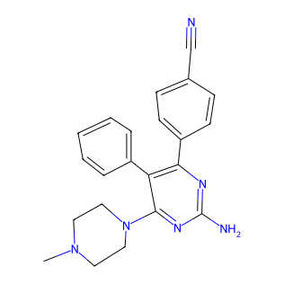 CN1CCN(c2nc(N)nc(-c3ccc(C#N)cc3)c2-c2ccccc2)CC1